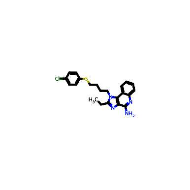 CCc1nc2c(N)nc3ccccc3c2n1CCCCSc1ccc(Cl)cc1